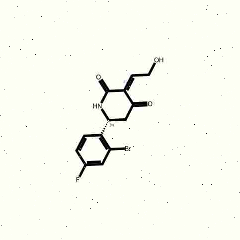 O=C1C[C@H](c2ccc(F)cc2Br)NC(=O)/C1=C/CO